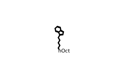 CCCCCCCCCCCCCC1=CC=C2C=CCC=C21